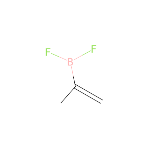 C=C(C)B(F)F